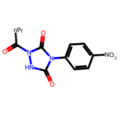 CCCC(=O)n1[nH]c(=O)n(-c2ccc([N+](=O)[O-])cc2)c1=O